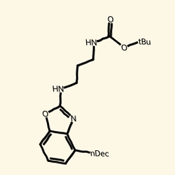 CCCCCCCCCCc1cccc2oc(NCCCNC(=O)OC(C)(C)C)nc12